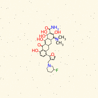 CN(C)[C@@H]1C(O)=C(C(N)=O)C(O)(O)C2C(O)=C3C(=O)c4c(O)ccc(-c5occc5CN5CCCC(F)C5)c4CC3CC21